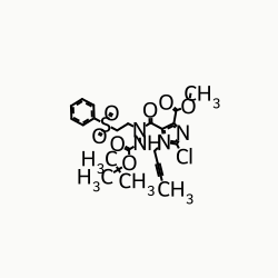 CC#CCn1c(Cl)nc(C(=O)OC)c1C(=O)N(CCS(=O)(=O)c1ccccc1)NC(=O)OC(C)(C)C